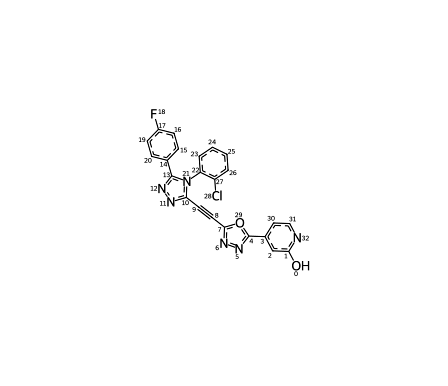 Oc1cc(-c2nnc(C#Cc3nnc(-c4ccc(F)cc4)n3-c3ccccc3Cl)o2)ccn1